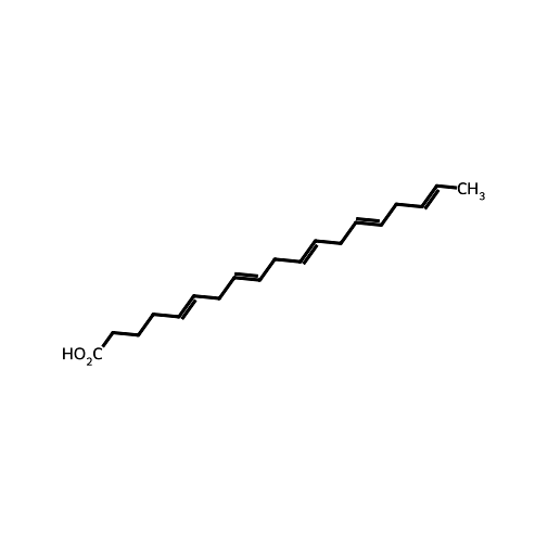 CC=CCC=CCC=CCC=CCC=CCCCC(=O)O